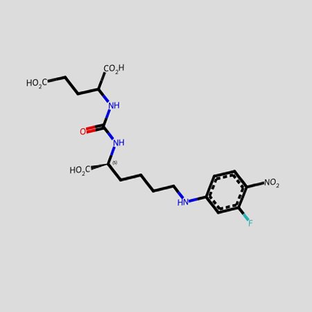 O=C(O)CCC(NC(=O)N[C@@H](CCCCNc1ccc([N+](=O)[O-])c(F)c1)C(=O)O)C(=O)O